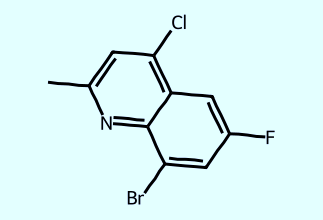 Cc1cc(Cl)c2cc(F)cc(Br)c2n1